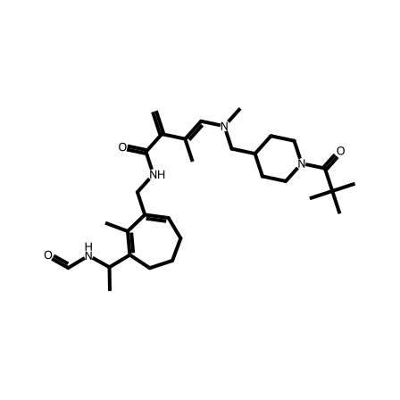 C=C(C(=O)NCC1=CCCCC(C(C)NC=O)=C1C)/C(C)=C/N(C)CC1CCN(C(=O)C(C)(C)C)CC1